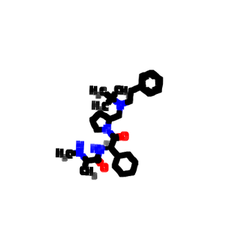 CNC(C)C(=O)N[C@H](C(=O)N1CCCC1CN(CCc1ccccc1)C(C)(C)C)C1CCCCC1